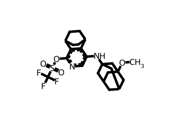 COC12CC3CC(CC(Nc4cnc(OS(=O)(=O)C(F)(F)F)c5c4C4CCC5CC4)(C3)C1)C2